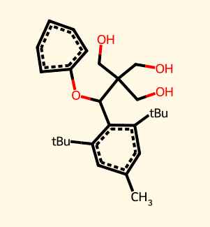 Cc1cc(C(C)(C)C)c(C(Oc2ccccc2)C(CO)(CO)CO)c(C(C)(C)C)c1